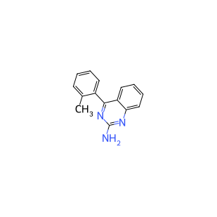 Cc1ccccc1-c1nc(N)nc2ccccc12